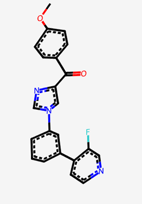 COc1ccc(C(=O)c2cn(-c3cccc(-c4ccncc4F)c3)cn2)cc1